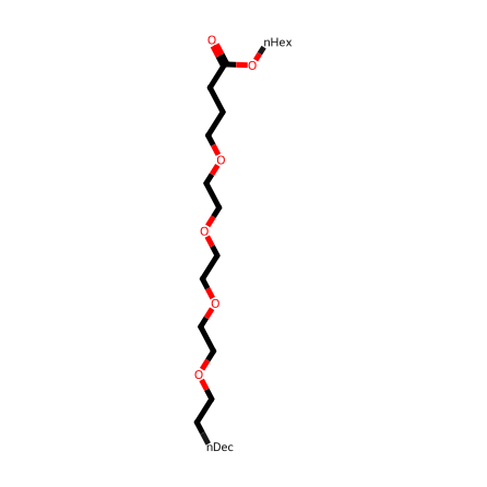 CCCCCCCCCCCCOCCOCCOCCOCCCC(=O)OCCCCCC